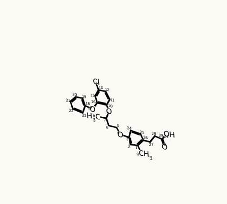 Cc1cc(OCCC(C)Oc2ccc(Cl)cc2Oc2ccccc2)ccc1CCC(=O)O